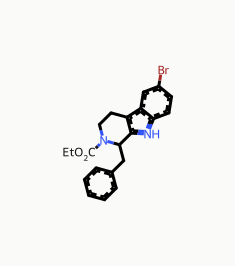 CCOC(=O)N1CCc2c([nH]c3ccc(Br)cc23)C1Cc1ccccc1